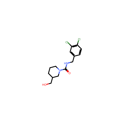 O=C(NCc1ccc(Cl)c(Cl)c1)N1CCCC(CO)C1